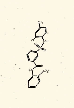 Cc1ccc(NS(=O)(=O)c2cccc(C(=O)Nc3ccccc3C(=O)O)c2)c(Cl)c1